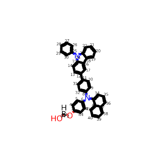 OBOc1ccc(N(c2ccc(-c3ccc4c(c3)c3ccccc3n4-c3ccccc3)cc2)c2cccc3ccccc23)cc1